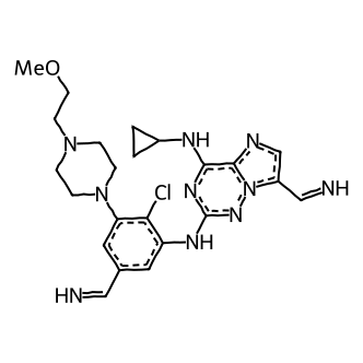 COCCN1CCN(c2cc(C=N)cc(Nc3nc(NC4CC4)c4ncc(C=N)n4n3)c2Cl)CC1